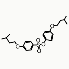 CC(C)CCOc1ccc(OS(=O)(=O)c2ccc(OCCC(C)C)cc2)cc1